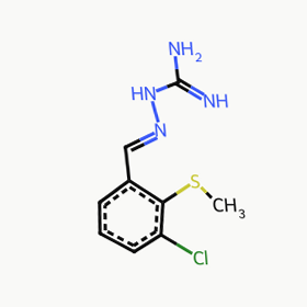 CSc1c(Cl)cccc1C=NNC(=N)N